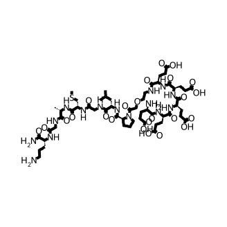 CSC[C@H](NC(=O)CNC(=O)[C@H](CC(C)C)NC(=O)[C@@H]1CCCN1C(=O)COCCNC(=O)[C@@H](CCC(=O)O)NC(=O)[C@@H](CCC(=O)O)NC(=O)[C@@H](CCC(=O)O)NC(=O)[C@@H](CCC(=O)O)NC(=O)[C@H](N)CCC(=O)O)C(=O)N[C@@H](C)C(=O)NCC(=O)N[C@H](CCCN)C(N)=O